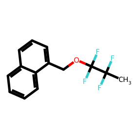 CC(F)(F)C(F)(F)OCc1cccc2ccccc12